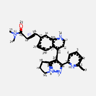 Cc1cccc(-c2nn3c(c2-c2ccnc4cc(/C=C/C(=O)N(C)C)ccc24)CCC3)n1